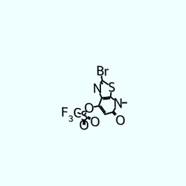 Cn1c(=O)cc(OS(=O)(=O)C(F)(F)F)c2nc(Br)sc21